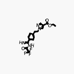 CCOC(=O)c1cnn(CCc2ccc(C(=N)NC(=O)C(F)(F)F)cc2)c1